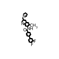 Cc1cc2cc(CN3CCCC3)cnc2cc1NC(=O)c1ccc(-c2ccc(F)c(F)c2)cc1